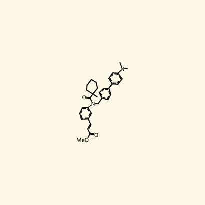 COC(=O)/C=C/c1cccc(N(Cc2ccc(-c3ccc(N(C)C)cc3)cc2)C(=O)C2(C)CCCCC2)c1